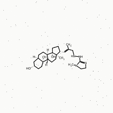 C/C(=C\[C@H]1CC[C@]2(O)[C@@H]3CC[C@@H]4C[C@@H](O)CC[C@]4(C)[C@H]3CC[C@]12C)CNNC1=NCCN1C